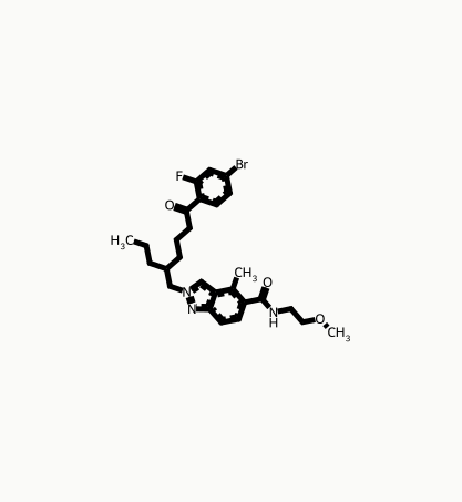 CCCC(CCCC(=O)c1ccc(Br)cc1F)Cn1cc2c(C)c(C(=O)NCCOC)ccc2n1